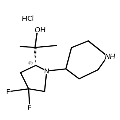 CC(C)(O)[C@H]1CC(F)(F)CN1C1CCNCC1.Cl